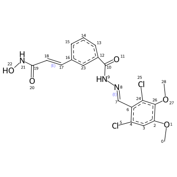 COc1cc(Cl)c(/C=N/NC(=O)c2cccc(/C=C/C(=O)NO)c2)c(Cl)c1OC